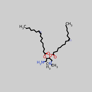 CCCCCC/C=C\CCCCCCCC(=O)OC(CN)C(CN(C)C)OC(=O)CCCCCCC/C=C\CCCCCC